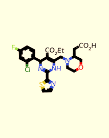 CCOC(=O)C1=C(CN2CCOCC2CC(=O)O)NC(c2nccs2)=NC1c1ccc(F)cc1Cl